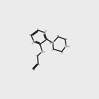 C=CCOc1nccnc1N1CCOCC1